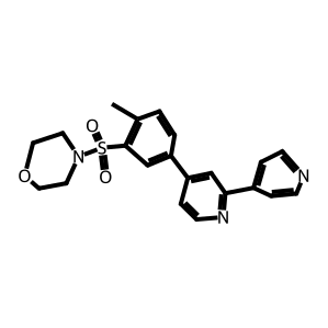 Cc1ccc(-c2ccnc(-c3ccncc3)c2)cc1S(=O)(=O)N1CCOCC1